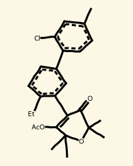 CCc1ccc(-c2ccc(C)cc2Cl)cc1C1=C(OC(C)=O)C(C)(C)OC(C)(C)C1=O